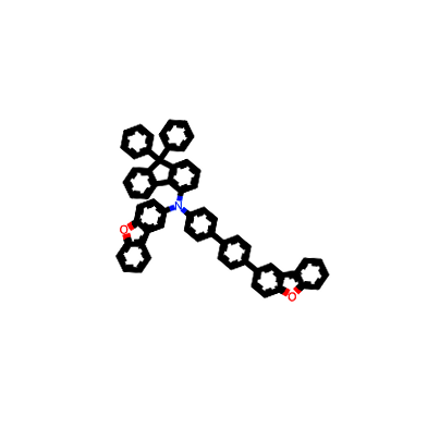 c1ccc(C2(c3ccccc3)c3ccccc3-c3c(N(c4ccc(-c5ccc(-c6ccc7oc8ccccc8c7c6)cc5)cc4)c4ccc5oc6ccccc6c5c4)cccc32)cc1